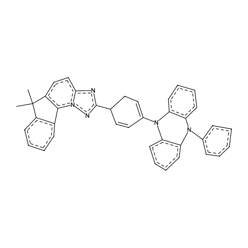 CC1(C)c2ccccc2-c2c1ccc1nc(C3C=CC(N4c5ccccc5N(c5ccccc5)c5ccccc54)=CC3)nn21